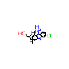 Nc1c2c(nc3cc(Cl)ccc13)C[C@H]1C=C(CCO)C[C@@H]2C1